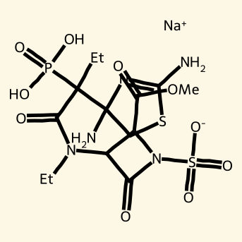 CCN(C(=O)C(CC)(C1(N)CSC(N)=N1)P(=O)(O)O)C1C(=O)N(S(=O)(=O)[O-])C1C(=O)OC.[Na+]